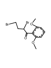 COc1cccc(OC)c1C(=O)C(Br)CCBr